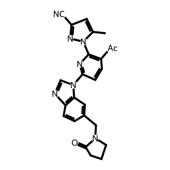 CC(=O)c1ccc(-n2cnc3ccc(CN4CCCC4=O)cc32)nc1-n1nc(C#N)cc1C